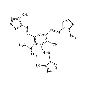 CN(C)c1c(/N=N/c2ccnn2C)cc(/N=N/c2ccnn2C)c(O)c1/N=N/c1ccnn1C